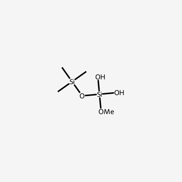 CO[Si](O)(O)O[Si](C)(C)C